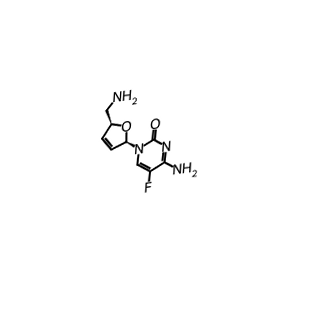 NC[C@@H]1C=C[C@H](n2cc(F)c(N)nc2=O)O1